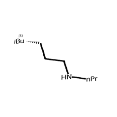 CCCNCCC[C@@H](C)CC